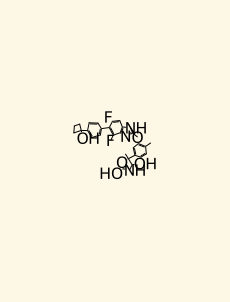 Cc1ccc(C2(C)OC(O)NC2O)cc1Oc1nc2c(F)c(-c3ccc(C4(O)CCC4)cc3)c(F)cc2[nH]1